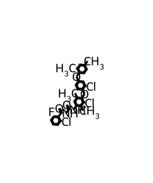 Cc1ccc(Oc2ccc(Oc3c(C)cc(NC(=O)NC(=O)c4c(F)cccc4Cl)c(C)c3Cl)c(Cl)c2)c(C)c1